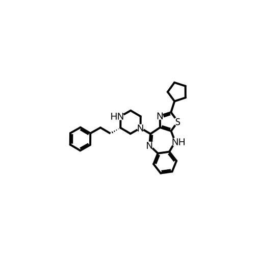 c1ccc(CC[C@H]2CN(C3=Nc4ccccc4Nc4sc(C5CCCC5)nc43)CCN2)cc1